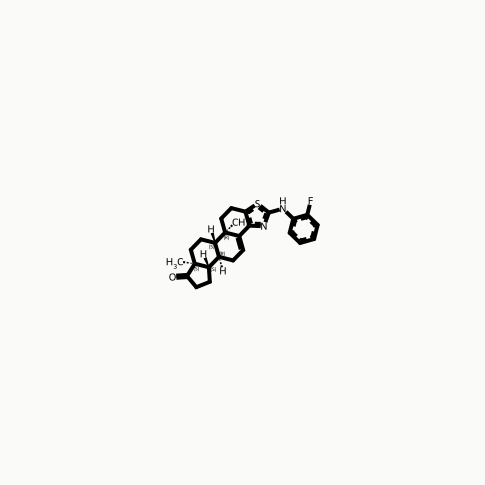 C[C@]12CCc3sc(Nc4ccccc4F)nc3C1=CC[C@@H]1[C@@H]2CC[C@]2(C)C(=O)CC[C@@H]12